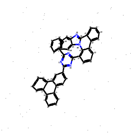 c1ccc(-c2nc(-c3ccc4c5ccccc5c5ccccc5c4c3)nc(-c3cccc4c5ccccc5c5nc6ccccc6n5c34)n2)cc1